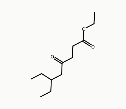 CCOC(=O)CCC(=O)CC(CC)CC